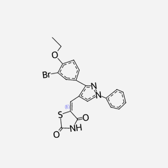 CCOc1ccc(-c2nn(-c3ccccc3)cc2/C=C2/SC(=O)NC2=O)cc1Br